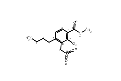 CCCCc1ccc(C(=O)OC)c(Cl)c1C[SH](=O)=O